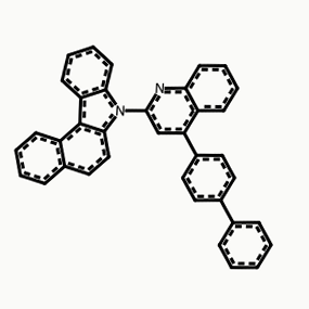 c1ccc(-c2ccc(-c3cc(-n4c5ccccc5c5c6ccccc6ccc54)nc4ccccc34)cc2)cc1